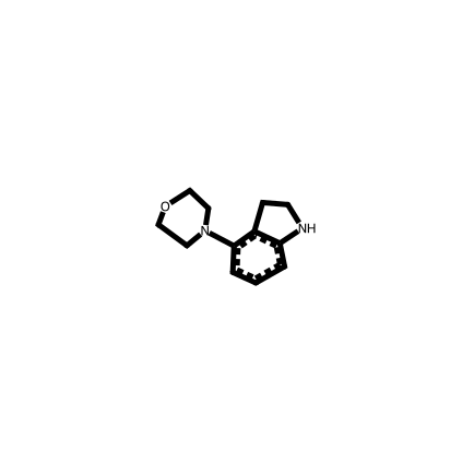 c1cc2c(c(N3CCOCC3)c1)CCN2